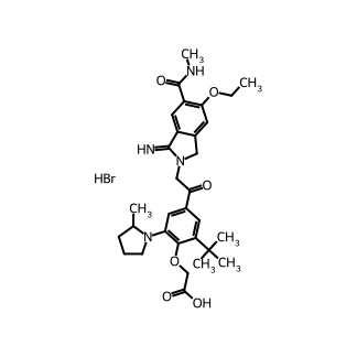 Br.CCOc1cc2c(cc1C(=O)NC)C(=N)N(CC(=O)c1cc(N3CCCC3C)c(OCC(=O)O)c(C(C)(C)C)c1)C2